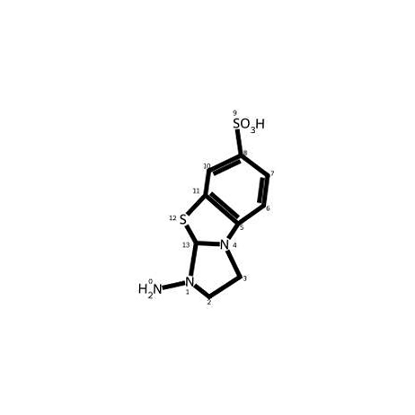 NN1CCN2c3ccc(S(=O)(=O)O)cc3SC12